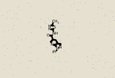 Cc1nnc(NC(=O)c2cnc3c(cnn3C(C)C)c2)s1